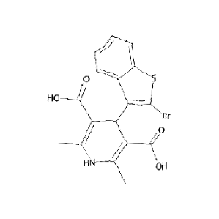 CC1=C(C(=O)O)C(c2c(Br)sc3ccccc23)C(C(=O)O)=C(C)N1